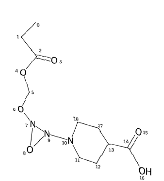 CCC(=O)OCOn1on1N1CCC(C(=O)O)CC1